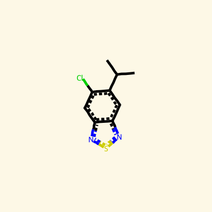 CC(C)c1cc2nsnc2cc1Cl